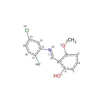 COc1cccc(O)c1/C=N/c1cc(Cl)ccc1F